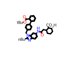 CCCCc1nc2ccc(NC(=O)CC3CCCCC3C(=O)O)cc2n1Cc1ccc(-c2ccccc2C(=O)OC(C)(C)C)cc1